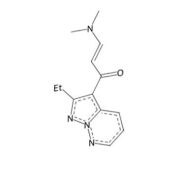 CCc1nn2ncccc2c1C(=O)/C=C/N(C)C